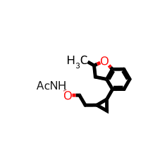 CC(=O)NOCCC1CC1c1cccc2c1CC(C)O2